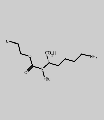 CC(C)(C)N(C(=O)OCCCl)[C@@H](CCCCN)C(=O)O